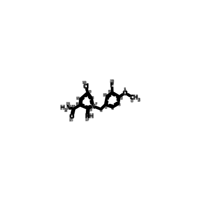 COc1ccc(Cn2cc(Cl)cc(C(N)=O)c2=N)cc1F